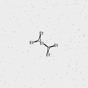 CCN(CC)CC.CCOCC